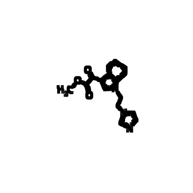 COC(=O)C(=O)c1cn(CCn2ccnc2)c2ccccc12